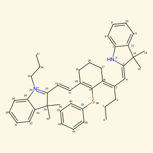 CCCC(C=C1Nc2ccccc2C1(C)C)=C1CCCC(C=CC2=[N+](CCC)c3ccccc3C2(C)C)=C1Sc1ccccc1